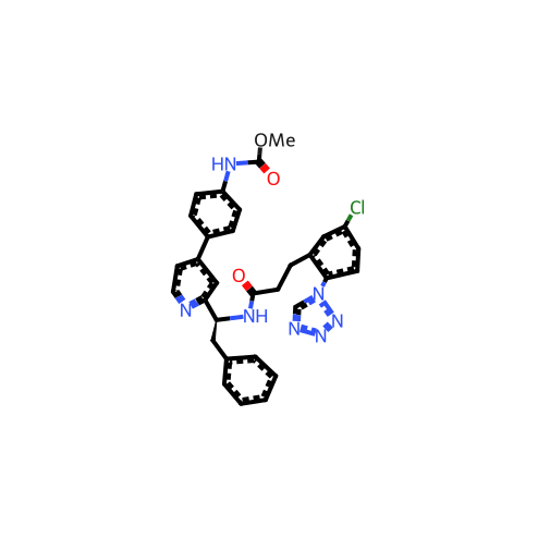 COC(=O)Nc1ccc(-c2ccnc([C@H](Cc3ccccc3)NC(=O)CCc3cc(Cl)ccc3-n3cnnn3)c2)cc1